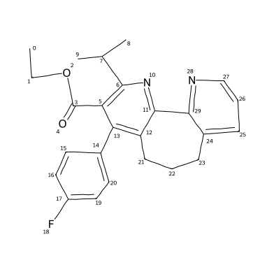 CCOC(=O)c1c(C(C)C)nc2c(c1-c1ccc(F)cc1)CCCc1cccnc1-2